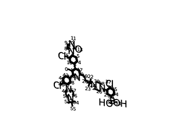 Cc1c(-c2ccc(-n3ccn(C)c3=O)c(Cl)c2)cc(CCC(C)(C)N2CCN(c3cc(B(O)O)ccc3Cl)CC2)nc1-c1ccc(Cl)c(N2CCN(C(C)(C)C)CC2)c1